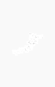 CCOC(=O)CC(=O)c1ccc(N(C)C)nn1